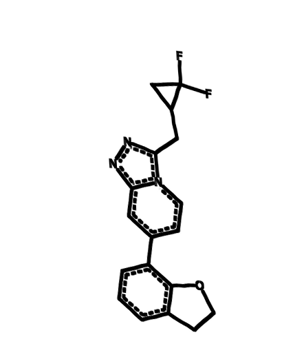 FC1(F)CC1Cc1nnc2cc(-c3cccc4c3OCC4)ccn12